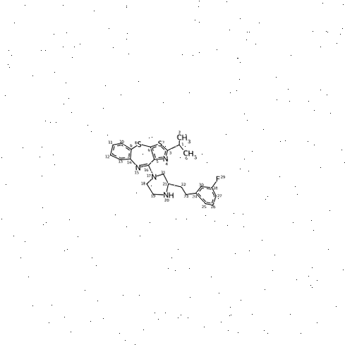 CC(C)c1nc2c(s1)Sc1ccccc1N=C2N1CCNC(CCc2cccc(F)c2)C1